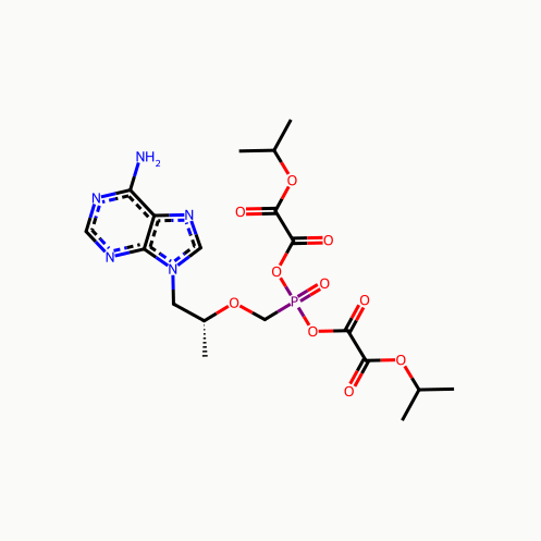 CC(C)OC(=O)C(=O)OP(=O)(CO[C@H](C)Cn1cnc2c(N)ncnc21)OC(=O)C(=O)OC(C)C